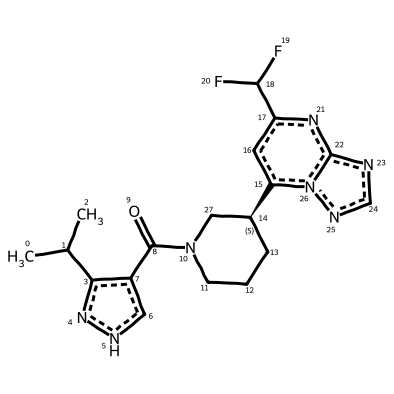 CC(C)c1n[nH]cc1C(=O)N1CCC[C@H](c2cc(C(F)F)nc3ncnn23)C1